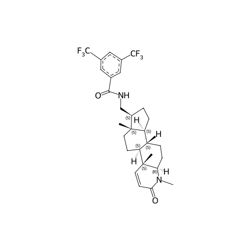 CN1C(=O)C=C[C@]2(C)[C@H]3CC[C@]4(C)[C@@H](CNC(=O)c5cc(C(F)(F)F)cc(C(F)(F)F)c5)CC[C@H]4[C@@H]3CC[C@@H]12